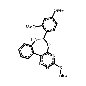 CCCCSc1nnc2c(n1)OC(c1ccc(OC)cc1OC)Nc1ccccc1-2